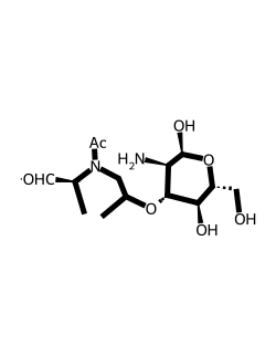 CC(=O)N(CC(C)O[C@@H]1[C@@H](N)[C@@H](O)O[C@H](CO)[C@H]1O)[C@@H](C)[C]=O